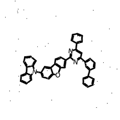 c1ccc(-c2cccc(-c3cc(-c4ccccc4)nc(-c4ccc5c(c4)oc4ccc(-n6c7ccccc7c7ccccc76)cc45)n3)c2)cc1